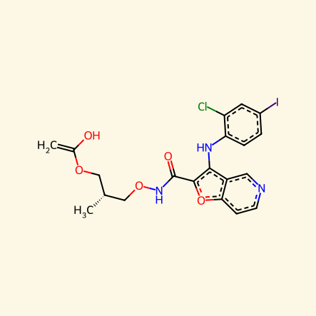 C=C(O)OC[C@@H](C)CONC(=O)c1oc2ccncc2c1Nc1ccc(I)cc1Cl